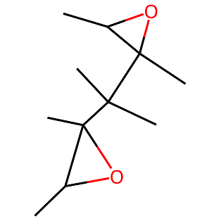 CC1OC1(C)C(C)(C)C1(C)OC1C